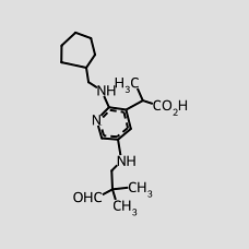 CC(C(=O)O)c1cc(NCC(C)(C)C=O)cnc1NCC1CCCCC1